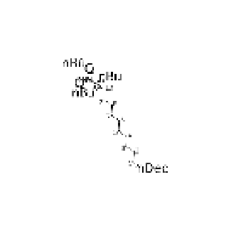 CCCCCCCCCCCCCCCCCCCCC(CCCC)(CCCC)C(=O)OCCCC